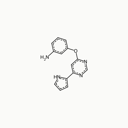 Nc1cccc(Oc2cc(-c3ccc[nH]3)ncn2)c1